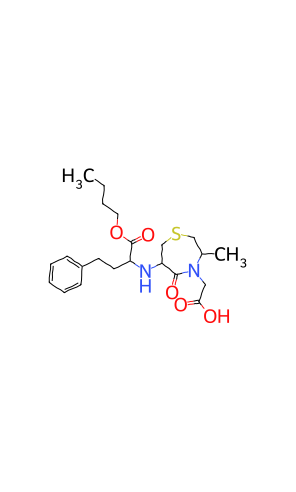 CCCCOC(=O)C(CCc1ccccc1)NC1CSCC(C)N(CC(=O)O)C1=O